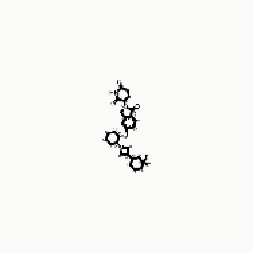 O=C1CCC(N2Cc3cc(O[C@@H]4CCCC[C@@H]4N4CC(C5CCCC(F)(F)C5)C4)ccc3C2=O)C(=O)N1